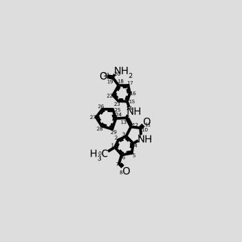 Cc1cc2c(cc1C=O)NC(=O)/C2=C(\Nc1ccc(C(N)=O)cc1)c1ccccc1